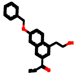 COC(=O)c1cc(CCO)c2ccc(OCc3ccccc3)cc2c1